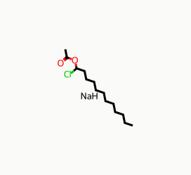 CCCCCCCCCCCC(Cl)OC(C)=O.[NaH]